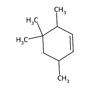 CC1[CH]C(C)(C)C(C)C=C1